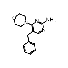 Nc1ncc(Cc2ccccc2)c(N2CCOCC2)n1